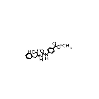 CCOC(=O)c1ccc(NC(=O)N[C@@H](Cc2ccccc2)C(=O)O)cc1